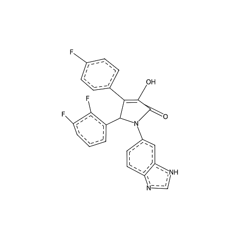 O=C1C(O)=C(c2ccc(F)cc2)C(c2cccc(F)c2F)N1c1ccc2nc[nH]c2c1